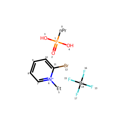 CCCP(=O)(O)O.CC[n+]1ccccc1Br.F[B-](F)(F)F